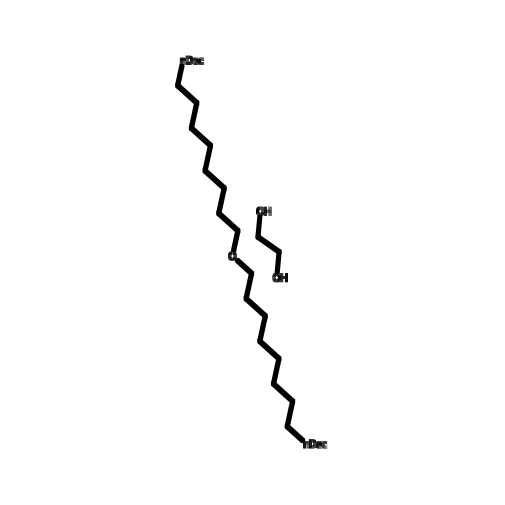 CCCCCCCCCCCCCCCCCCOCCCCCCCCCCCCCCCCCC.OCCO